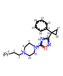 CC(C)CCN1CCN(c2nc(C3(c4ccccc4)CC3)no2)CC1